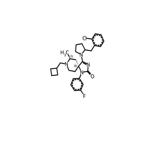 C[C@H]1C[C@]2(CCN1CC1CCC1)C(N1CCCC1Cc1ccccc1Cl)=NC(=O)N2c1cccc(F)c1